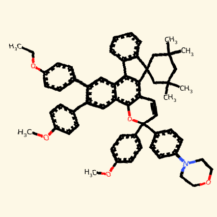 CCOc1ccc(-c2cc3c4c(c5c(c3cc2-c2ccc(OC)cc2)OC(c2ccc(OC)cc2)(c2ccc(N3CCOCC3)cc2)C=C5)C2(CC(C)(C)CC(C)(C)C2)c2ccccc2-4)cc1